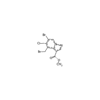 COC(=O)c1cnn2cc(Br)c(Cl)c(CBr)c12